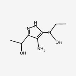 CCN(O)c1[nH]nc(C(C)O)c1N